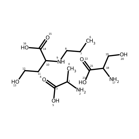 CC(N)C(=O)O.CCCNC(CCO)C(=O)O.NC(CO)C(=O)O